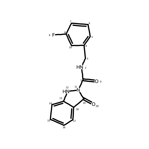 O=C(NCc1cccc(F)c1)n1[nH]c2ccccc2c1=O